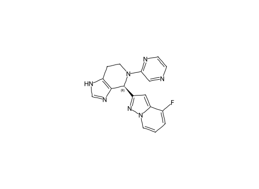 Fc1cccn2nc([C@H]3c4nc[nH]c4CCN3c3cnccn3)cc12